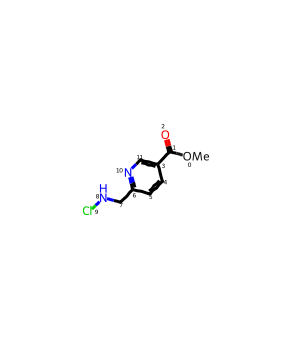 COC(=O)c1ccc(CNCl)nc1